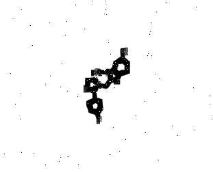 CCCn1c(Cn2ccnc2-c2ccc(F)cc2)nc2ccc(Cl)cc21